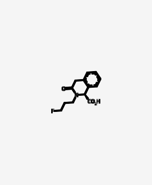 O=C(O)[C@@H]1c2ccccc2CC(=O)N1CCCF